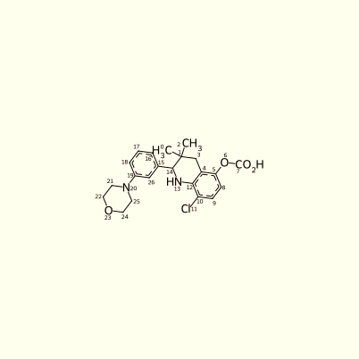 CC1(C)Cc2c(OC(=O)O)ccc(Cl)c2NC1c1cccc(N2CCOCC2)c1